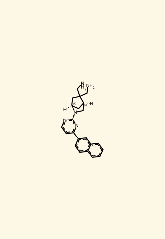 NCC1(CN)C[C@H]2C[C@@H]1CN2c1nccc(-c2ccc3ccccc3c2)n1